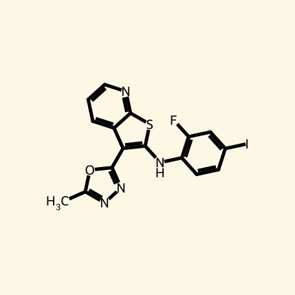 Cc1nnc(-c2c(Nc3ccc(I)cc3F)sc3ncccc23)o1